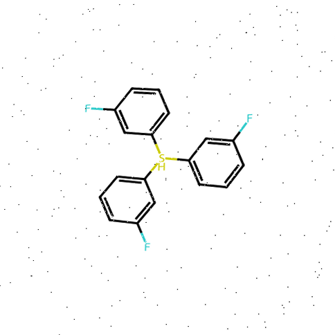 Fc1cccc([SH](c2cccc(F)c2)c2cccc(F)c2)c1